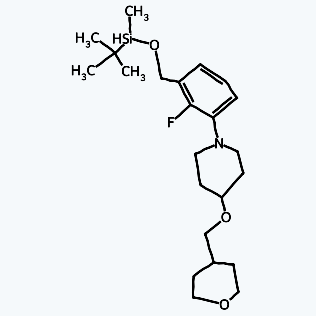 C[SiH](OCc1cccc(N2CCC(OCC3CCOCC3)CC2)c1F)C(C)(C)C